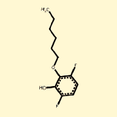 CCCCCCOc1c(F)ccc(F)c1O